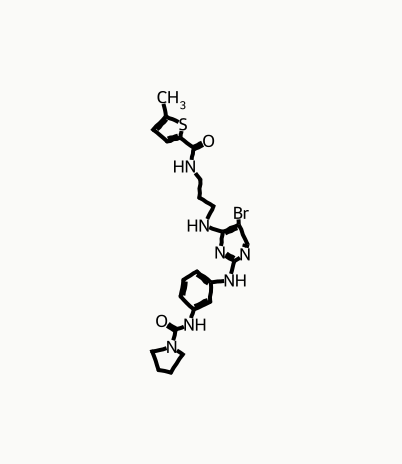 Cc1ccc(C(=O)NCCCNc2nc(Nc3cccc(NC(=O)N4CCCC4)c3)ncc2Br)s1